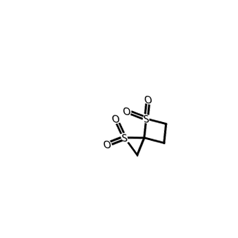 O=S1(=O)CCC12CS2(=O)=O